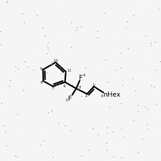 CCCCCC/C=C/C(F)(F)c1ccccc1